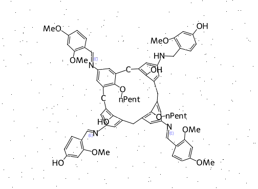 CCCCCOc1c2cc(/N=C/c3ccc(OC)cc3OC)cc1Cc1cc(NCc3ccc(O)cc3OC)cc(c1O)Cc1cc(/N=C/c3ccc(OC)cc3OC)cc(c1OCCCCC)Cc1cc(/N=C/c3ccc(O)cc3OC)cc(c1O)C2